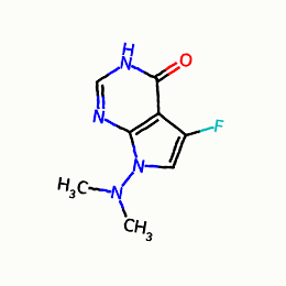 CN(C)n1cc(F)c2c(=O)[nH]cnc21